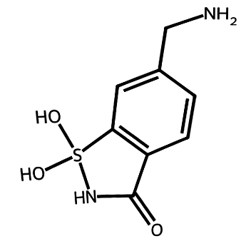 NCc1ccc2c(c1)S(O)(O)NC2=O